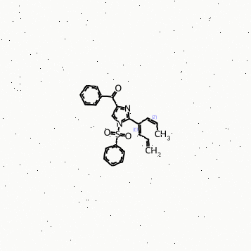 C=C/C=C(\C=C/C)c1nc(C(=O)c2ccccc2)cn1S(=O)(=O)c1ccccc1